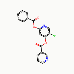 O=C(Oc1cc(OC(=O)c2cccnc2)c(Cl)cn1)c1ccccc1